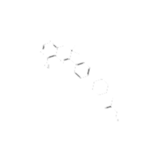 CC1(C)Oc2ncnc(N)c2N=C1c1ccc([C@H]2CC[C@H](CC(=O)CO)CC2)cc1